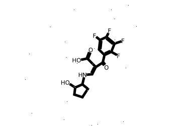 O=C(O)C(=CNC1CCCC1O)C(=O)c1cc(F)c(F)c(F)c1F